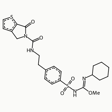 COC(=NC1CCCCC1)NS(=O)(=O)c1ccc(CCNC(=O)N2Cc3ccsc3C2=O)cc1